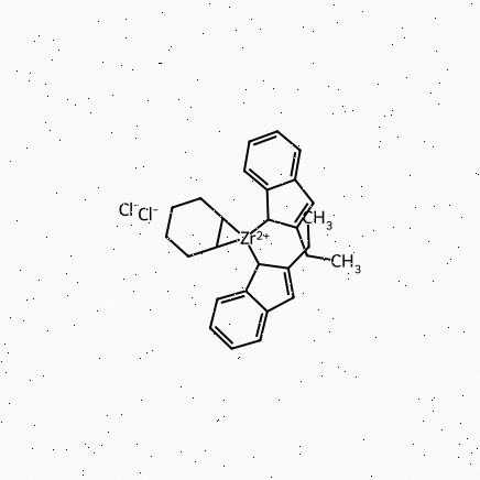 CCC1=Cc2ccccc2[CH]1[Zr+2]1([CH]2C(CC)=Cc3ccccc32)[CH]2CCCC[CH]21.[Cl-].[Cl-]